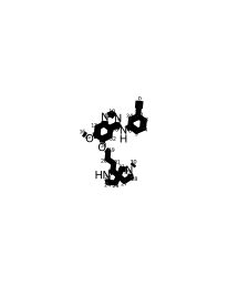 C#Cc1cccc(Nc2ncnc3cc(OC)c(OCCCC4NCCC45CCN(C)C5)cc23)c1